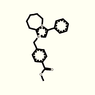 COC(=O)c1ccc(C[n+]2cc(-c3ccccc3)n3c2CCCCC3)cc1